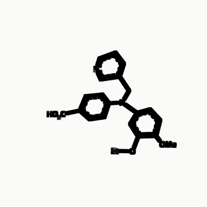 CCOc1cc(N(Cc2cccnc2)c2ccc(C(=O)O)cc2)ccc1OC